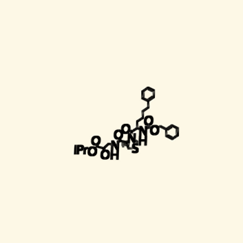 CC(C)OC(=O)C(=O)CNC(=O)[C@@H]1CSCN1C(=O)C(CCCCc1ccccc1)NC(=O)OCc1ccccc1